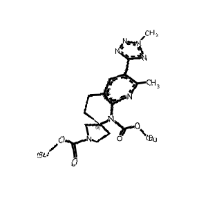 Cc1nc2c(cc1-c1nnn(C)n1)CC[C@]1(CCN(C(=O)OC(C)(C)C)C1)N2C(=O)OC(C)(C)C